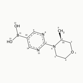 C[C@H]1COCCN1c1ncc(B(O)O)cn1